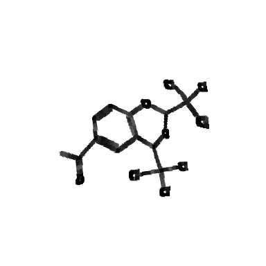 CC(=O)c1ccc2c(c1)C(C(Cl)(Cl)Cl)OC(C(Cl)(Cl)Cl)O2